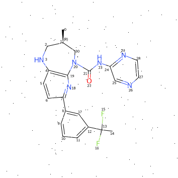 C[C@@H]1CNc2ccc(-c3cccc(C(C)(F)F)c3)nc2N(C(=O)Nc2cnccn2)C1